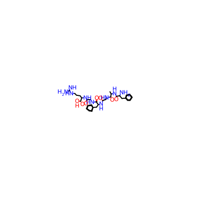 CC(NC(=O)C(N)Cc1ccccc1)C(=O)NCC(=O)NC(Cc1ccccc1)C(=O)NCC(=O)NC(CCCNC(=N)N)C(=O)O